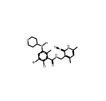 CCN(c1cc(Br)c(Cl)c(C(=O)NCC2=C(C)C=C(C)NC2=C=O)c1C)C1CCOCC1